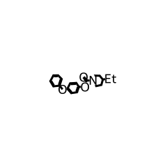 CCC1CCN(C(=O)Oc2ccc(Oc3ccccc3)cc2)CC1